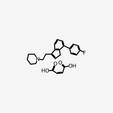 Fc1ccc(-c2cccc3c2CC=C3CCN2CCCCC2)cc1.O=C(O)/C=C\C(=O)O